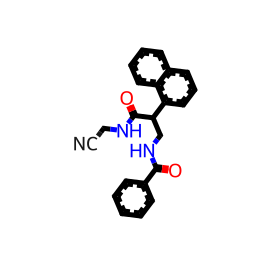 N#CCNC(=O)C(CNC(=O)c1ccccc1)c1cccc2ccccc12